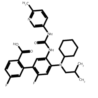 Cc1ccc(NC(=O)Nc2cc(-c3cc(F)ccc3C(=O)O)c(F)cc2N(CC(C)C)C2CCCCC2)cn1